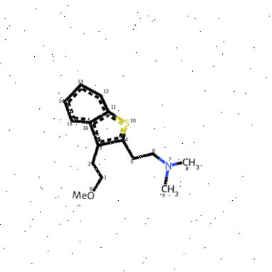 COCCc1c(CCN(C)C)sc2ccccc12